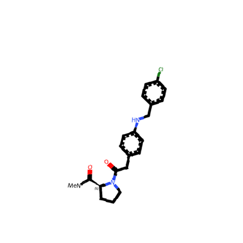 CNC(=O)[C@@H]1CCCN1C(=O)Cc1ccc(NCc2ccc(Cl)cc2)cc1